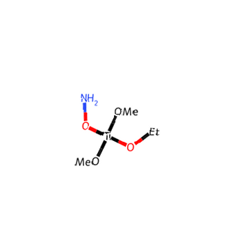 CC[O][Ti]([O]C)([O]C)[O]N